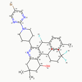 CC1(C)Cc2nc(C3CCN(c4ncc(Br)cn4)CC3)c(C(F)c3ccc(C(F)(F)F)cc3)c(C3CCC(F)(F)CC3)c2C(O)C1